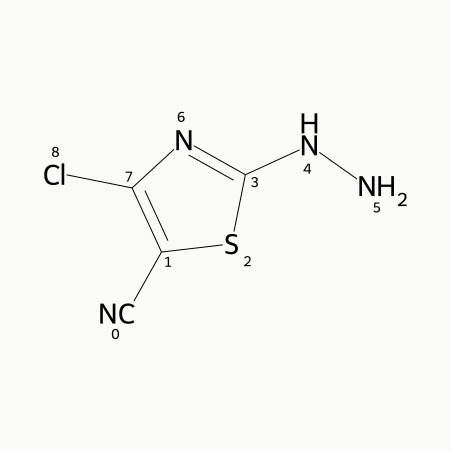 N#Cc1sc(NN)nc1Cl